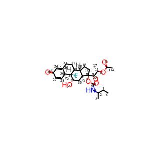 CCC(C)NC(=O)O[C@]1(C(=O)COC(C)=O)[C@@H](C)C[C@H]2[C@@H]3CCC4=CC(=O)C=C[C@]4(C)[C@@]3(F)[C@@H](O)C[C@@]21C